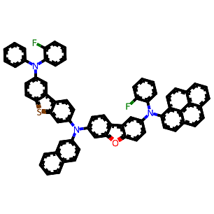 Fc1ccccc1N(c1ccccc1)c1ccc2sc3cc(N(c4ccc5ccccc5c4)c4ccc5c(c4)oc4ccc(N(c6ccccc6F)c6ccc7ccc8cccc9ccc6c7c89)cc45)ccc3c2c1